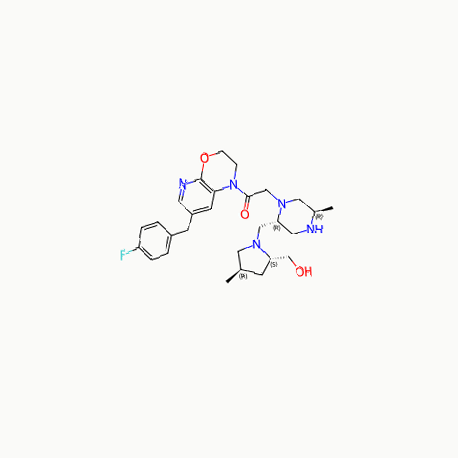 C[C@@H]1C[C@@H](CO)N(C[C@H]2CN[C@H](C)CN2CC(=O)N2CCOc3ncc(Cc4ccc(F)cc4)cc32)C1